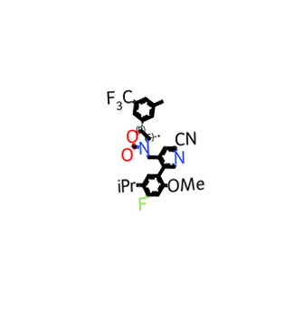 COc1cc(F)c(C(C)C)cc1-c1cnc(C#N)cc1CN1C(=O)O[C@H](c2cc(C)cc(C(F)(F)F)c2)[C@@H]1C